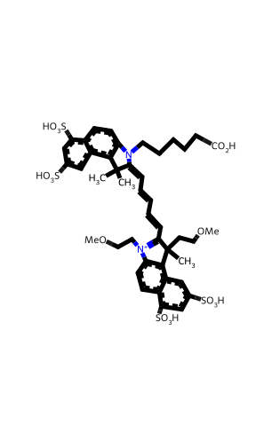 COCC[N+]1=C(/C=C/C=C/C=C2/N(CCCCCC(=O)O)c3ccc4c(S(=O)(=O)O)cc(S(=O)(=O)O)cc4c3C2(C)C)C(C)(CCOC)c2c1ccc1c(S(=O)(=O)O)cc(S(=O)(=O)O)cc21